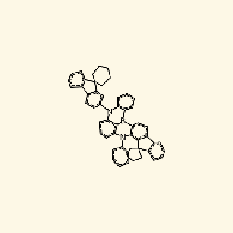 c1ccc(N2c3cccc4c3B(c3ccccc3N4c3ccc4c(c3)C3(CCCCC3)c3ccccc3-4)c3ccc4c(c32)C2(CCCC2)c2ccccc2-4)cc1